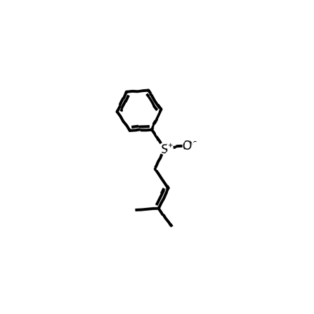 CC(C)=CC[S+]([O-])c1ccccc1